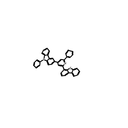 c1ccc(-c2cc(-c3ccc4c(c3)c3ccccc3n4-c3ccccc3)cc(-c3cccc4c3sc3ccccc34)n2)cc1